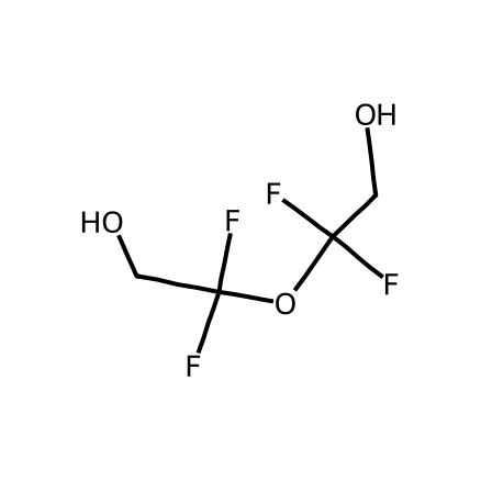 OCC(F)(F)OC(F)(F)CO